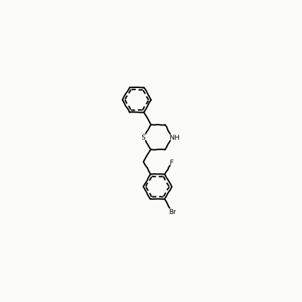 Fc1cc(Br)ccc1CC1CNCC(c2ccccc2)S1